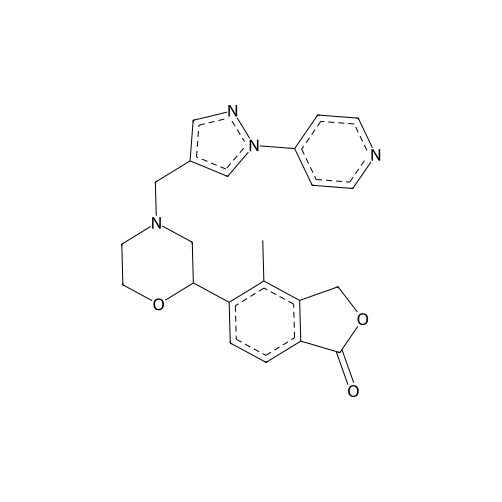 Cc1c(C2CN(Cc3cnn(-c4ccncc4)c3)CCO2)ccc2c1COC2=O